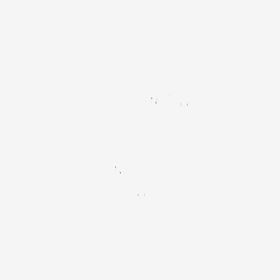 O=C1OCC(Cc2ccccc2)N1CCC1CCN(CC2COc3ccccc3O2)CC1